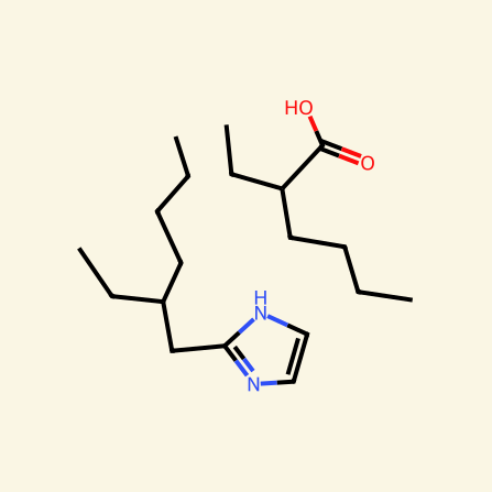 CCCCC(CC)C(=O)O.CCCCC(CC)Cc1ncc[nH]1